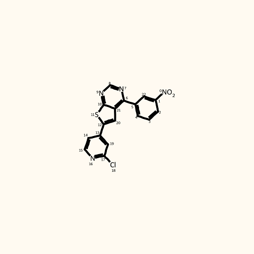 O=[N+]([O-])c1cccc(-c2ncnc3sc(-c4ccnc(Cl)c4)cc23)c1